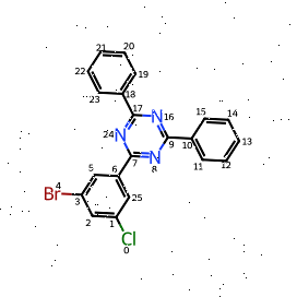 Clc1cc(Br)cc(-c2nc(-c3ccccc3)nc(-c3ccccc3)n2)c1